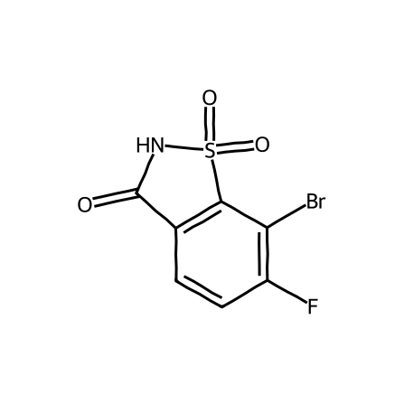 O=C1NS(=O)(=O)c2c1ccc(F)c2Br